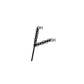 CCCCCCCCCCCCCCCCCCCCN(CCCOCCOCCOCCOCCOCCOCCO)CCOCCOCCOCCOCCOCCOCCO